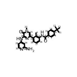 Cc1c(NC(=O)c2ccc(C(C)(C)C)cc2)cccc1-c1cn(C)c(=O)c(Nc2ccnc(N)c2)n1